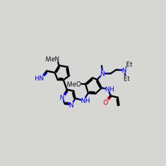 C=CC(=O)Nc1cc(Nc2cc(-c3ccc(NC)c(C=N)c3)ncn2)c(OC)cc1N(C)CCN(CC)CC